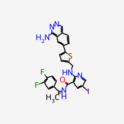 C[C@H](NC(=O)c1cc(I)cnc1NCc1ccc(-c2ccc3cnnc(N)c3c2)s1)c1ccc(F)c(F)c1